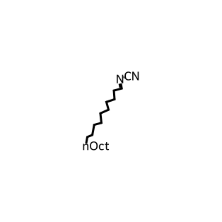 CCCCCCCCCCCCCCCCCC=NC#N